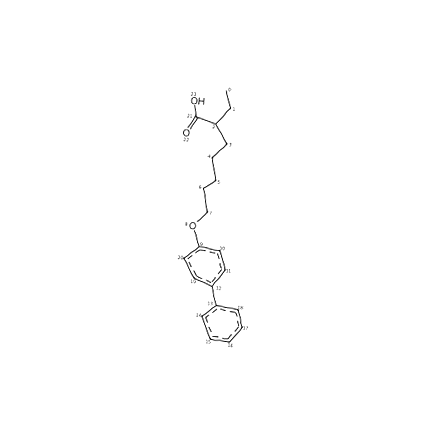 CCC(CCCCCOc1ccc(-c2ccccc2)cc1)C(=O)O